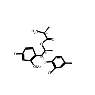 COc1cc(F)ccc1[C@@H](Oc1ccc(C)cc1Cl)[C@H](C)OC(=O)[C@H](C)N